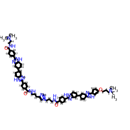 CN(C)CCCOc1ccc(-c2nc3cc(-c4ccc5[nH]c(-c6ccc(C(=O)NCCCn7cc(CCCNC(=O)c8ccc(-c9nc%10cc(-c%11ccc%12[nH]c(-c%13ccc(C(=O)NCCN(C)C)cc%13)nc%12c%11)ccc%10[nH]9)cc8)nn7)cc6)nc5c4)ccc3[nH]2)cc1